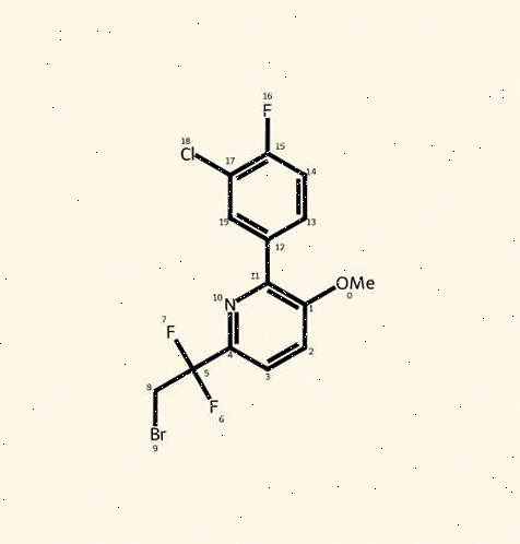 COc1ccc(C(F)(F)CBr)nc1-c1ccc(F)c(Cl)c1